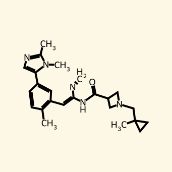 C=N/C(=C\c1cc(-c2cnc(C)n2C)ccc1C)NC(=O)C1CN(CC2(C)CC2)C1